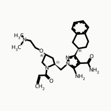 C=CC(=O)N1C[C@H](OCCN(C)C)C[C@H]1Cn1nc([C@@H]2CCc3ccccc3C2)c(C(N)=O)c1N